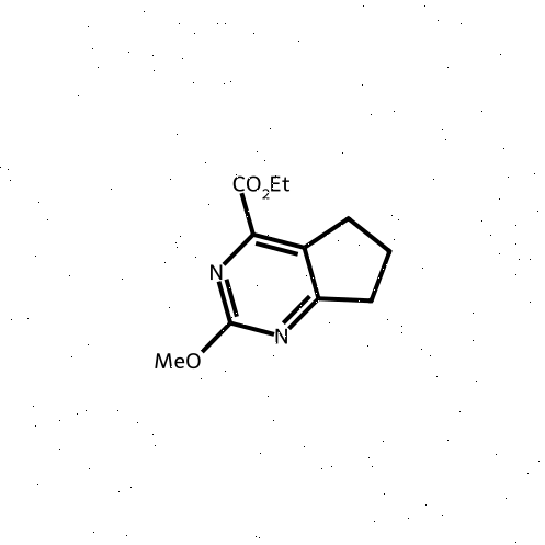 CCOC(=O)c1nc(OC)nc2c1CCC2